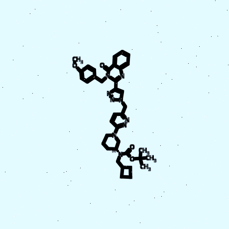 COc1ccc(Cn2c(-c3cn(Cc4ccc(N5CCC[C@@H](N(CC6CCC6)C(=O)OC(C)(C)C)C5)nn4)nn3)nc3ccccc3c2=O)cc1